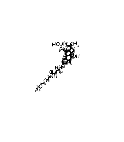 CC(=O)COCCOCCNC(=O)CCC(=O)NO[C@H]1CC[C@@]2(C)[C@@H](C1)C[C@@H](O)[C@H]1C3CC[C@H]([C@H](C)CCC(=O)O)[C@@]3(C)[C@@H](O)C[C@@H]12